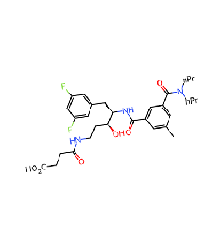 CCCN(CCC)C(=O)c1cc(C)cc(C(=O)N[C@H](Cc2cc(F)cc(F)c2)[C@@H](O)CCNC(=O)CCC(=O)O)c1